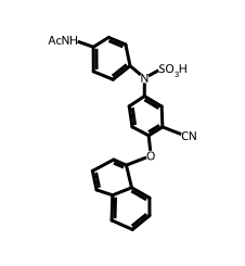 CC(=O)Nc1ccc(N(c2ccc(Oc3cccc4ccccc34)c(C#N)c2)S(=O)(=O)O)cc1